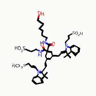 CC1(C)C(/C=C/C2=CC(=C/C=C3/N(CCCS(=O)(=O)O)c4ccccc4C3(C)C)/CC(C(=O)NCCCCCCO)(C(=O)NCCS(=O)(=O)O)C2)=[N+](CCCS(=O)(=O)O)c2ccccc21